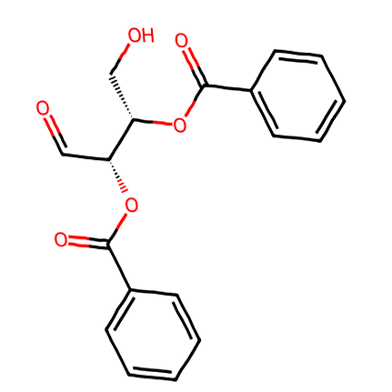 O=C[C@@H](OC(=O)c1ccccc1)[C@H](CO)OC(=O)c1ccccc1